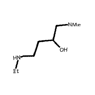 CCNCCC(O)CNC